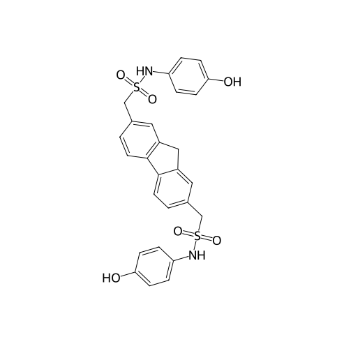 O=S(=O)(Cc1ccc2c(c1)Cc1cc(CS(=O)(=O)Nc3ccc(O)cc3)ccc1-2)Nc1ccc(O)cc1